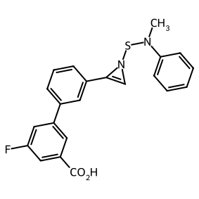 CN(SN1C=C1c1cccc(-c2cc(F)cc(C(=O)O)c2)c1)c1ccccc1